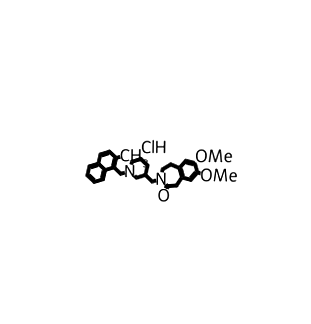 COc1cc2c(cc1OC)CC(=O)N(CC1CCCN(Cc3c(C)ccc4ccccc34)C1)CC2.Cl